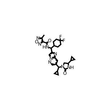 Cc1nonc1C(=O)NC(c1cn2ncc(C(C3CC3)N3CC(C4CC4)NC3=O)cc2n1)C1CCC(F)(F)CC1